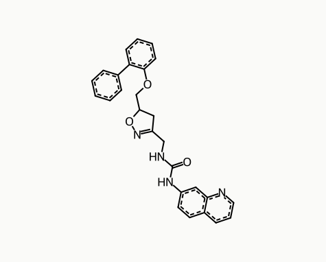 O=C(NCC1=NOC(COc2ccccc2-c2ccccc2)C1)Nc1ccc2cccnc2c1